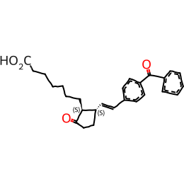 O=C(O)CCCCCC[C@@H]1C(=O)CC[C@H]1C=Cc1ccc(C(=O)c2ccccc2)cc1